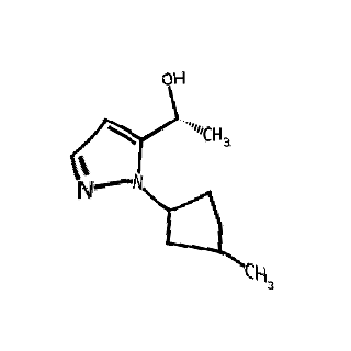 CC1CC(n2nccc2[C@@H](C)O)C1